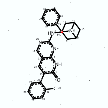 O=c1[nH]c2nc(NC3CC4CC(C3)N4Cc3ccccc3)ncc2cc1-c1ccccc1Cl